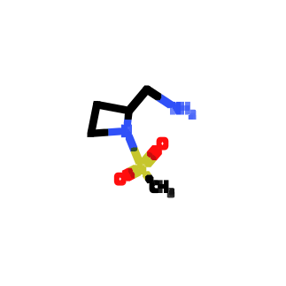 CS(=O)(=O)N1CCC1CN